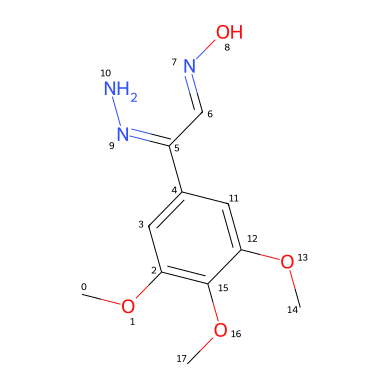 COc1cc(C(C=NO)=NN)cc(OC)c1OC